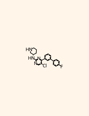 Fc1ccc(-c2cccc(-c3nc(N[C@H]4CCCNC4)ncc3Cl)c2)cc1